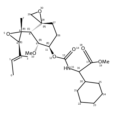 CC=C(C)[C@H]1O[C@]1(C)[C@H]1[C@@H](OC)[C@H](OC(=O)NC(C(=O)OC)C2CCCCC2)CC[C@]12CO2